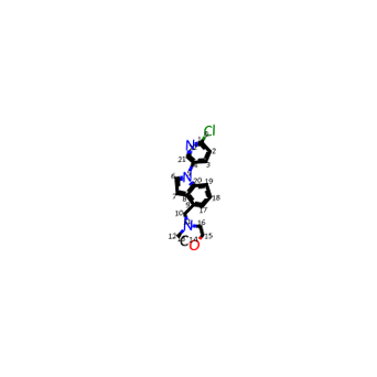 Clc1ccc(-n2ccc3c(CN4CCOCC4)cccc32)cn1